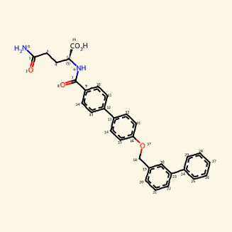 NC(=O)CC[C@H](NC(=O)c1ccc(-c2ccc(OCc3cccc(-c4ccccc4)c3)cc2)cc1)C(=O)O